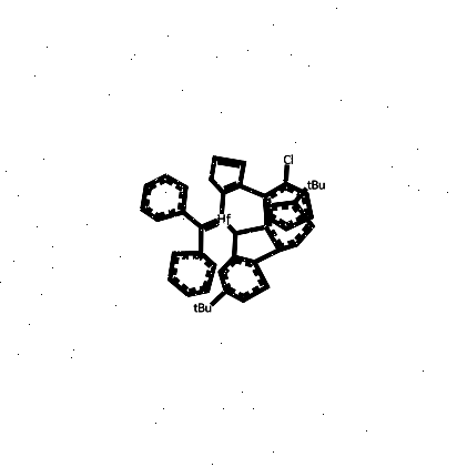 CC(C)(C)c1ccc2c(c1)[CH]([Hf]([C]1=C(c3ccccc3Cl)C=CC1)=[C](c1ccccc1)c1ccccc1)c1cc(C(C)(C)C)ccc1-2